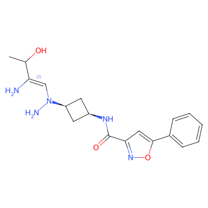 CC(O)/C(N)=C/N(N)[C@H]1C[C@@H](NC(=O)c2cc(-c3ccccc3)on2)C1